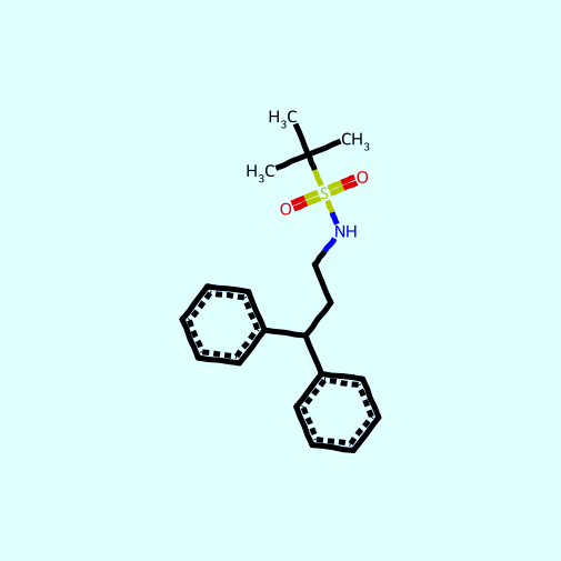 CC(C)(C)S(=O)(=O)NCCC(c1ccccc1)c1ccccc1